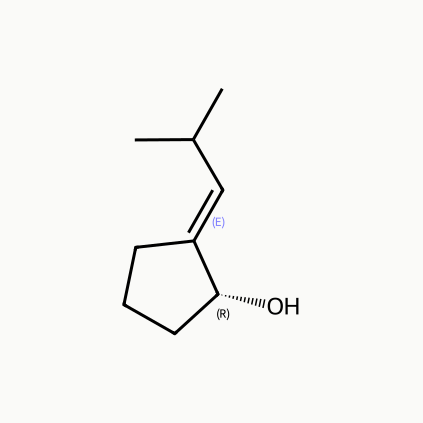 CC(C)/C=C1\CCC[C@H]1O